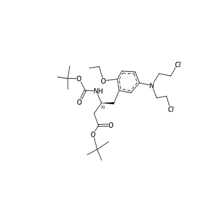 CCOc1ccc(N(CCCl)CCCl)cc1C[C@@H](CC(=O)OC(C)(C)C)NC(=O)OC(C)(C)C